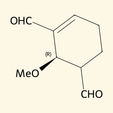 CO[C@H]1C(C=O)=CCCC1C=O